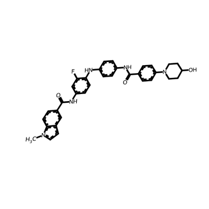 Cn1ccc2cc(C(=O)Nc3ccc(Nc4ccc(NC(=O)c5ccc(N6CCC(O)CC6)cc5)cc4)c(F)c3)ccc21